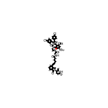 C=C1NC(=O)CCC1N1Cc2c(C#CCCCC(=O)NCC(=O)N3CCN(C(=O)N4C(c5ccc(C(C)(C)C)cc5OCC)=NC(c5ccc(Cl)cc5)C4c4ccc(Cl)cc4)CC3)cccc2C1=O